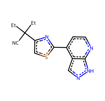 CCC(C#N)(CC)c1csc(-c2ccnc3[nH]ncc23)n1